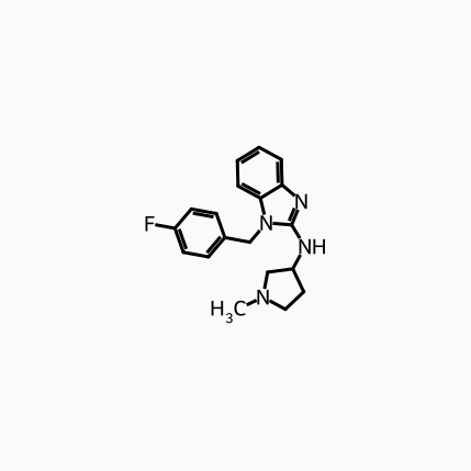 CN1CCC(Nc2nc3ccccc3n2Cc2ccc(F)cc2)C1